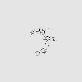 CNc1cc(N2CCc3c(N4CCN(C[C@H]5CCN(C6CCNCC6)CC5(F)F)CC4)cccc32)nn2c(C(=O)N[C@@H]3CC[C@H]3OC)cnc12.O=C(O)C(F)(F)F